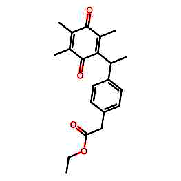 CCOC(=O)Cc1ccc(C(C)C2=C(C)C(=O)C(C)=C(C)C2=O)cc1